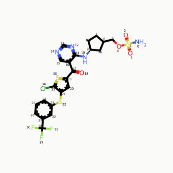 NS(=O)(=O)OCC1CC[C@H](Nc2ncncc2C(=O)c2cc(Sc3cccc(C(F)(F)F)c3)c(Cl)s2)C1